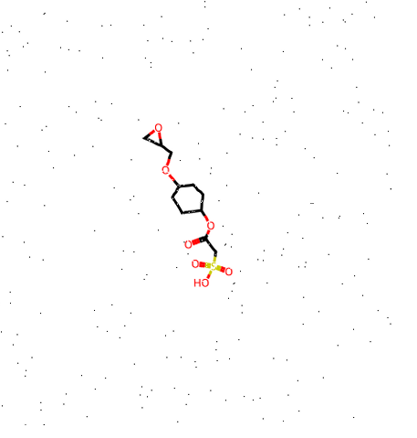 O=C(CS(=O)(=O)O)OC1CCC(OCC2CO2)CC1